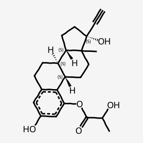 C#C[C@]1(O)CC[C@H]2[C@@H]3CCc4cc(O)cc(OC(=O)C(C)O)c4[C@H]3CCC21C